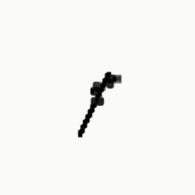 CCCCCCCCCCCCCOC(=O)CCC(CCCCC(CC)C(=O)O)C(=O)O